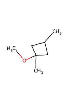 COC1(C)CC(C)C1